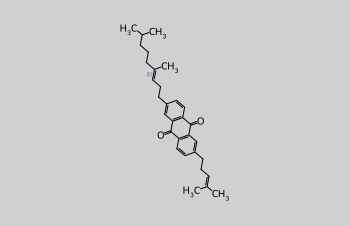 CC(C)=CCCc1ccc2c(c1)C(=O)c1ccc(CC/C=C(\C)CCCC(C)C)cc1C2=O